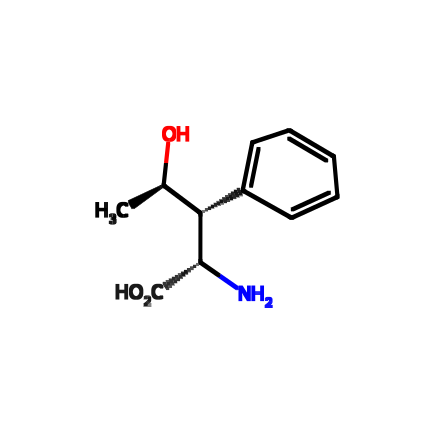 C[C@@H](O)[C@H](c1ccccc1)[C@H](N)C(=O)O